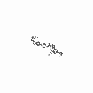 CNCCOc1ccc(N2CCN(CC(C)n3ncc4c3nc(N)n3nc(-c5ccco5)nc43)CC2)cc1